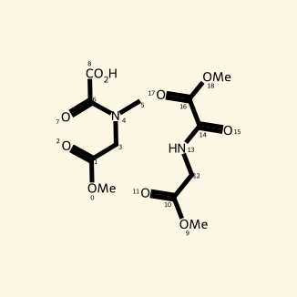 COC(=O)CN(C)C(=O)C(=O)O.COC(=O)CNC(=O)C(=O)OC